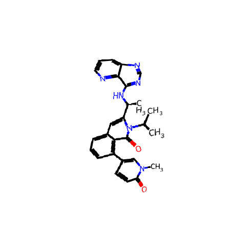 CC(C)n1c([C@H](C)Nc2ncnc3cccnc23)cc2cccc(-c3ccc(=O)n(C)c3)c2c1=O